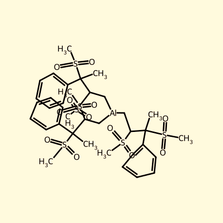 CC(c1ccccc1)(C([CH2][Al]([CH2]C(C(C)(c1ccccc1)S(C)(=O)=O)S(C)(=O)=O)[CH2]C(C(C)(c1ccccc1)S(C)(=O)=O)S(C)(=O)=O)S(C)(=O)=O)S(C)(=O)=O